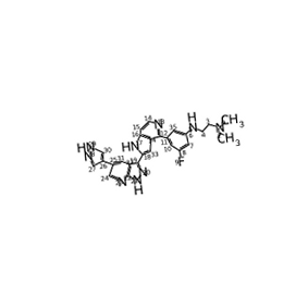 CN(C)CCNc1cc(F)cc(-c2nccc3[nH]c(-c4n[nH]c5ncc(-c6cn[nH]c6)cc45)cc23)c1